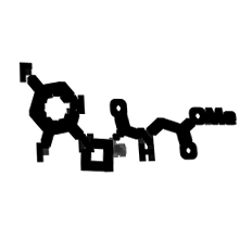 COC(=O)CNC(=O)[C@@H]1CCN1c1ncc(F)cc1F